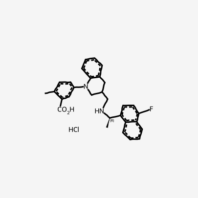 Cc1ccc(N2CC(CN[C@H](C)c3ccc(F)c4ccccc34)Cc3ccccc32)cc1C(=O)O.Cl